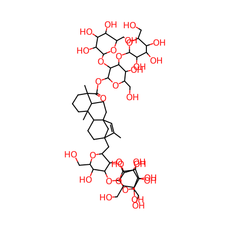 CC1=CC23CCC4C(C)(C(=O)OC5OC(CO)C(O)C(OC6OC(CO)C(O)C(O)C6O)C5OC5OC(CO)C(O)C(O)C5O)CCCC4(C)C2CCC1(CC1OC(CO)C(O)C(OC2OC(CO)C(O)C(O)C2O)C1OC1OC(CO)C(O)C(O)C1O)C3